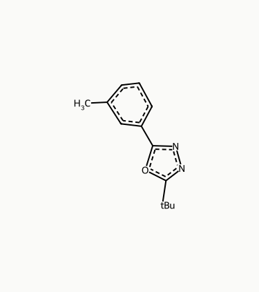 Cc1cccc(-c2nnc(C(C)(C)C)o2)c1